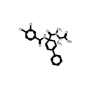 C[C@@H](C(=O)O)N(C)C(=O)C1(NC(=O)c2ccc(Cl)c(Cl)c2)C=CC(c2ccccc2)=CC1